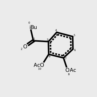 CCC(C)C(=O)c1cccc(OC(C)=O)c1OC(C)=O